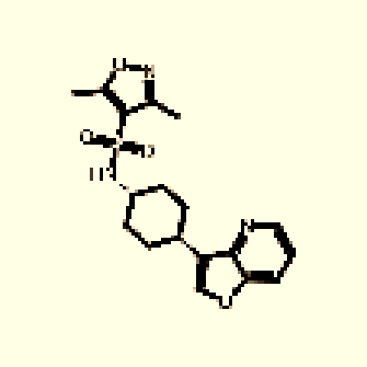 Cc1noc(C)c1S(=O)(=O)N[C@H]1CC[C@H](c2coc3cccnc32)CC1